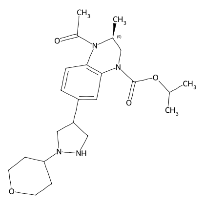 CC(=O)N1c2ccc(C3CNN(C4CCOCC4)C3)cc2N(C(=O)OC(C)C)C[C@@H]1C